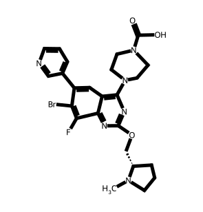 CN1CCC[C@H]1COc1nc(N2CCN(C(=O)O)CC2)c2cc(-c3cccnc3)c(Br)c(F)c2n1